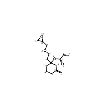 C=CC(=O)OC1(CCOCC2CO2)CCCC(=C)C1